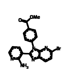 COC(=O)c1ccc(-n2c(-c3cccnc3N)nc3ccc(Br)nc32)cc1